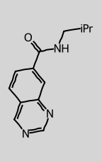 CC(C)CNC(=O)c1ccc2cncnc2c1